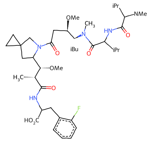 CC[C@H](C)[C@@H]([C@@H](CC(=O)N1CC2(CC2)CC1[C@H](OC)[C@@H](C)C(=O)NC(Cc1ccccc1F)C(=O)O)OC)N(C)C(=O)C(NC(=O)C(NC)C(C)C)C(C)C